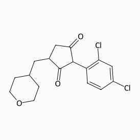 O=C1CC(CC2CCOCC2)C(=O)C1c1ccc(Cl)cc1Cl